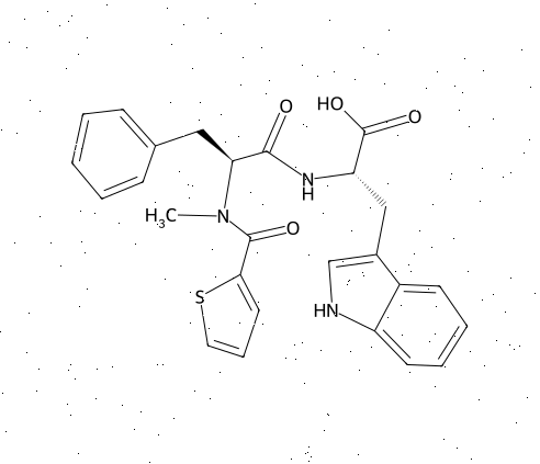 CN(C(=O)c1cccs1)[C@@H](Cc1ccccc1)C(=O)N[C@@H](Cc1c[nH]c2ccccc12)C(=O)O